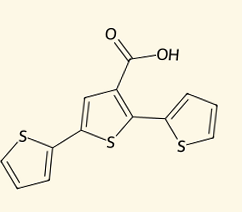 O=C(O)c1cc(-c2cccs2)sc1-c1cccs1